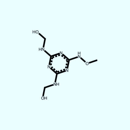 CONc1nc(NCO)nc(NCO)n1